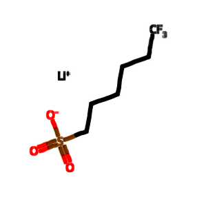 O=S(=O)([O-])CCCCCC(F)(F)F.[Li+]